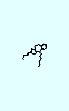 CCCCCCN1c2ccccc2CCc2cc(/C=C/C=O)ccc21